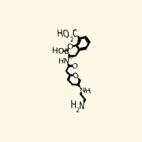 NCCNC1CCC(CC(=O)N[C@H]2Cc3cccc(C(=O)O)c3OB2O)OC1